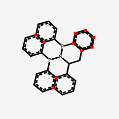 c1ccc(CC(c2ccccc2)N(P(c2ccccc2)c2ccccc2)P(c2ccccc2)c2ccccc2)cc1